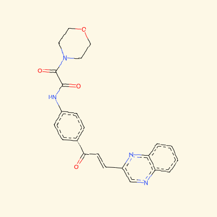 O=C(Nc1ccc(C(=O)C=Cc2cnc3ccccc3n2)cc1)C(=O)N1CCOCC1